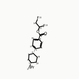 CCC[C@H]1CC[C@H](c2ccc(C(=O)OC(F)CF)cc2)CC1